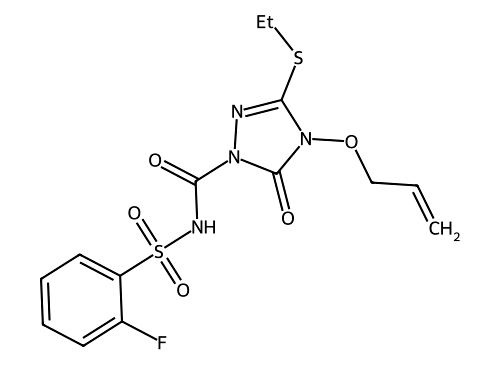 C=CCOn1c(SCC)nn(C(=O)NS(=O)(=O)c2ccccc2F)c1=O